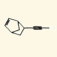 CC#CC1CC2C=CC1C2